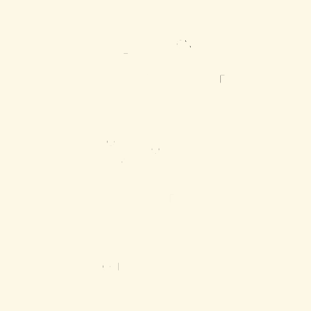 N#Cc1c(F)cc(OC(=O)c2ccc(O)cc2F)cc1F